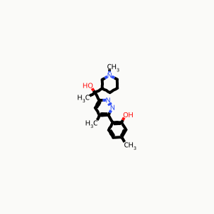 Cc1ccc(-c2nnc(C(C)(O)C3CCCN(C)C3)cc2C)c(O)c1